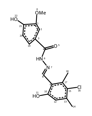 COc1cc(C(=O)N/N=C/c2c(O)cc(C)c(Cl)c2C)ccc1O